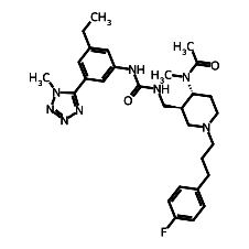 CCc1cc(NC(=O)NC[C@@H]2CN(CCCc3ccc(F)cc3)CC[C@H]2N(C)C(C)=O)cc(-c2nnnn2C)c1